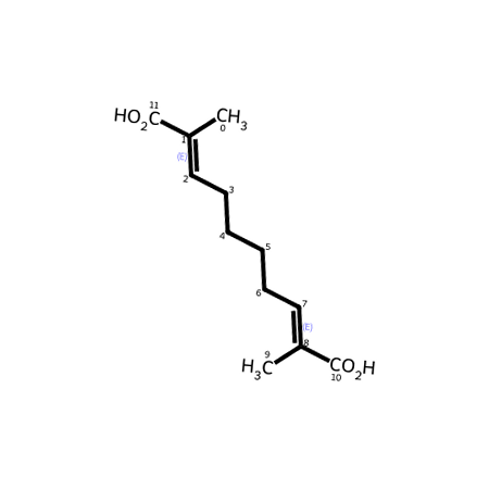 C/C(=C\CCCC/C=C(\C)C(=O)O)C(=O)O